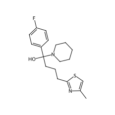 Cc1csc(CCCC(O)(c2ccc(F)cc2)N2CCCCC2)n1